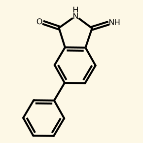 N=C1NC(=O)c2cc(-c3ccccc3)ccc21